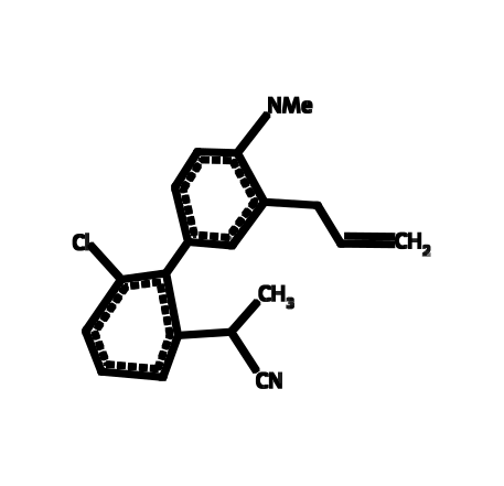 C=CCc1cc(-c2c(Cl)cccc2C(C)C#N)ccc1NC